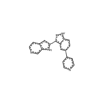 c1cc(-c2ccc3[nH]nc(-c4cc5ccncc5[nH]4)c3c2)ccn1